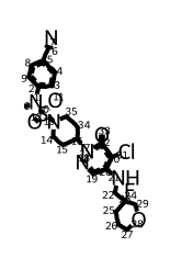 CN(c1ccc(C#N)cc1)S(=O)(=O)N1CCC(n2ncc(NC[C@]3(F)CCCOC3)c(Cl)c2=O)CC1